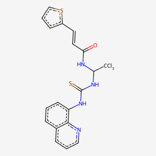 O=C(C=Cc1cccs1)NC(NC(=S)Nc1cccc2cccnc12)C(Cl)(Cl)Cl